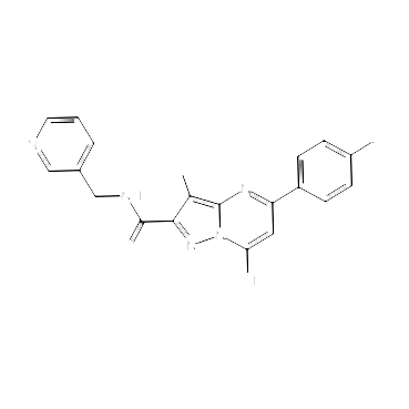 O=C(NCc1cccnc1)c1nn2c(C(F)(F)F)cc(-c3ccc(F)cc3)nc2c1Cl